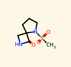 CS(=O)(=O)N1CCCC12CNC2=O